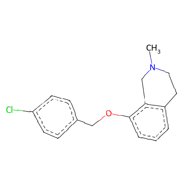 CN1CCc2cccc(OCc3ccc(Cl)cc3)c2C1